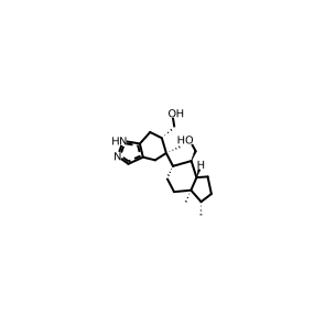 C[C@H]1CC[C@H]2[C@H](CO)[C@@H]([C@@]3(C)Cc4cn[nH]c4C[C@@H]3CO)CC[C@]12C